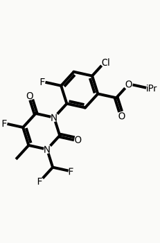 Cc1c(F)c(=O)n(-c2cc(C(=O)OC(C)C)c(Cl)cc2F)c(=O)n1C(F)F